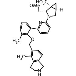 COC[C@H]1N(c2cccc(-c3cccc(C)c3OCc3ccc4c(c3C)CCNC4)n2)C[C@@H]2C[C@@]21C(=O)O